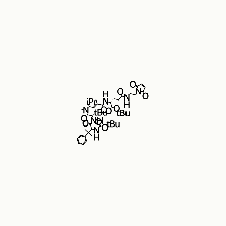 C/C(=C\[C@H](C(C)C)N(C)C(=O)[C@@H](NC(=O)[C@@H](NC(=O)OC(C)(C)C)C(C)(C)c1ccccc1)C(C)(C)C)C(=O)N[C@H](CCC(=O)NCCN1C(=O)C=CC1=O)C(=O)OC(C)(C)C